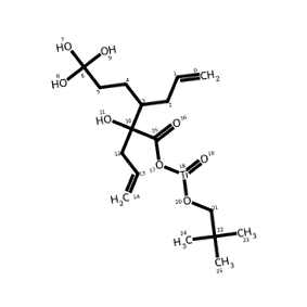 C=CCC(CCC(O)(O)O)C(O)(CC=C)C(=O)[O][Ti](=[O])[O]CC(C)(C)C